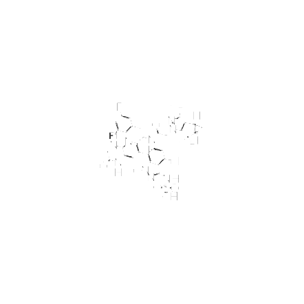 Cn1nc(NS(C)(=O)=O)c2c(Cl)ccc(-c3cc4c(nc3[C@H](Cc3cc(F)cc(F)c3)NC(=O)Cn3nc(C(F)(F)F)c5c3C(F)(F)[C@@H]3C[C@H]53)NCC(=O)N4)c21